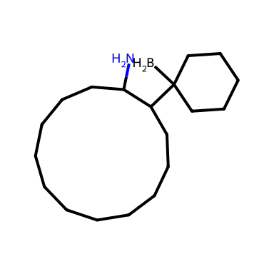 BC1(C2CCCCCCCCCCCC2N)CCCCC1